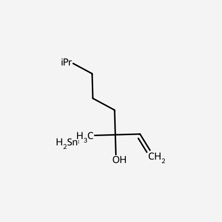 C=CC(C)(O)CCCC(C)C.[SnH2]